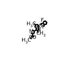 CCOC(=O)c1cncc(-c2c(C)nn3c(OCc4c(F)cccc4F)cc(C)cc23)c1